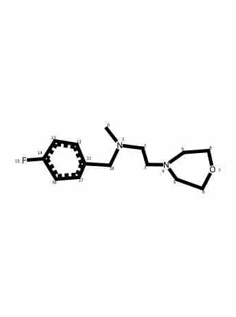 CN(CCN1CCOCC1)Cc1ccc(F)cc1